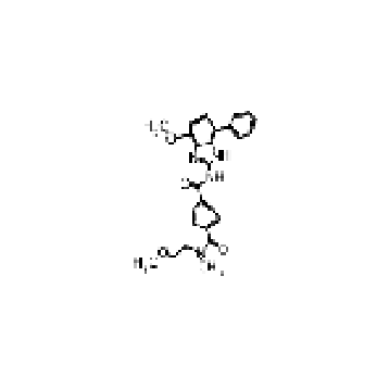 COCCN(C)C(=O)c1ccc(C(=O)Nc2nc3c(OC)ccc(-c4ccccc4)c3[nH]2)cc1